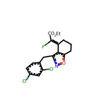 CCOC(=O)/C(F)=C1\CCCc2onc(Cc3ccc(Cl)cc3Cl)c21